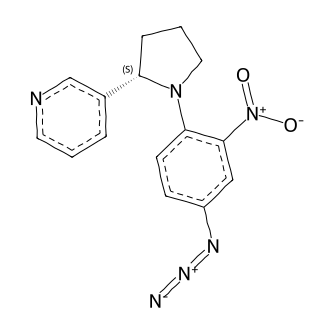 [N-]=[N+]=Nc1ccc(N2CCC[C@H]2c2cccnc2)c([N+](=O)[O-])c1